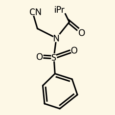 CC(C)C(=O)N(CC#N)S(=O)(=O)c1ccccc1